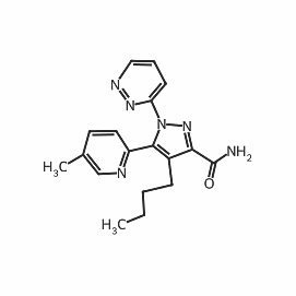 CCCCc1c(C(N)=O)nn(-c2cccnn2)c1-c1ccc(C)cn1